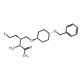 CC(=O)N(C)[C@@H](CCF)CO[C@H]1CC[C@H](OCc2ccccc2)CC1